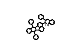 c1ccc(-c2cc3ccccc3nc2-c2ccc3c4c(cccc24)-c2c-3c(-c3ccccc3)c3ccccc3c2-c2ccccc2)cc1